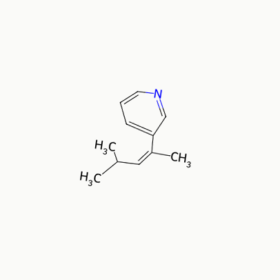 C/C(=C/C(C)C)c1cccnc1